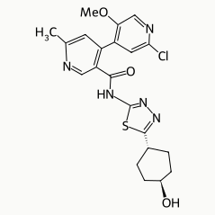 COc1cnc(Cl)cc1-c1cc(C)ncc1C(=O)Nc1nnc([C@H]2CC[C@H](O)CC2)s1